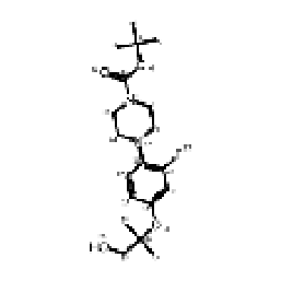 CC(C)(C)OC(=O)N1CCN(c2ccc(OC(C)(C)CO)cc2F)CC1